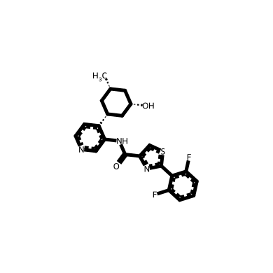 C[C@@H]1C[C@H](O)C[C@H](c2ccncc2NC(=O)c2csc(-c3c(F)cccc3F)n2)C1